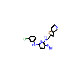 N=Nc1ccc(Nc2cccc(Cl)c2)nc1NCc1cc2cnccc2s1